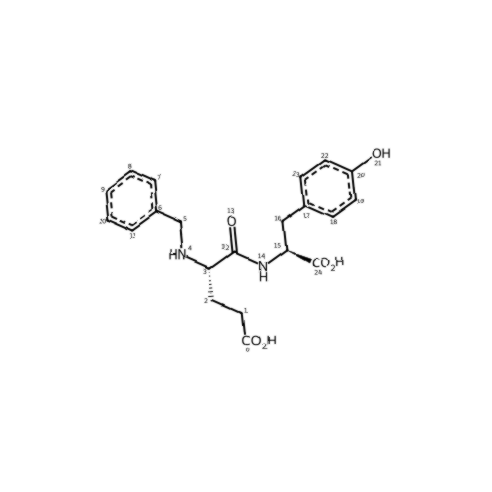 O=C(O)CC[C@H](NCc1ccccc1)C(=O)N[C@@H](Cc1ccc(O)cc1)C(=O)O